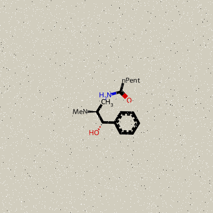 CCCCCC(N)=O.CN[C@@H](C)[C@@H](O)c1ccccc1